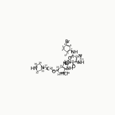 Cc1ccc(Br)cc1NC(=O)c1nc[nH]c1C(=O)Nc1nc2cc(OCCCN3CCNCC3)ccc2[nH]1.Cl